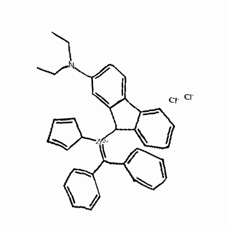 CCN(CC)c1ccc2c(c1)[CH]([Zr+2](=[C](c1ccccc1)c1ccccc1)[CH]1C=CC=C1)c1ccccc1-2.[Cl-].[Cl-]